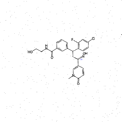 Cn1cc(/C(CC(c2cccc(C(=O)NCCO)c2)c2ccc(Cl)cc2F)=N/O)ccc1=O